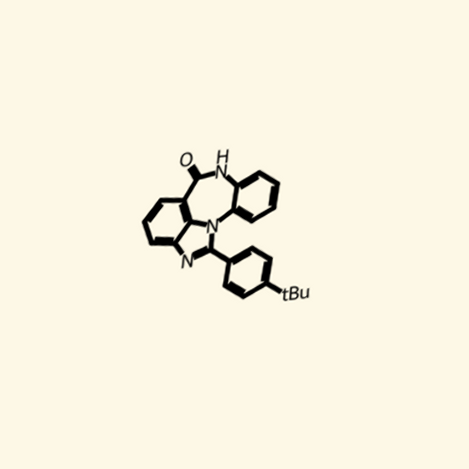 CC(C)(C)c1ccc(-c2nc3cccc4c3n2-c2ccccc2NC4=O)cc1